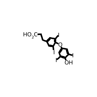 O=C(O)CCc1cc(I)c(Oc2cc(I)c(O)c(I)c2)c(I)c1